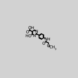 COCC(=O)Nc1ccc(-c2ncc(C(=O)O)c(O)n2)cc1